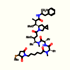 CCCCSC1CC(=O)N(CCCCCC(=O)N(C)[C@H](C(=O)N[C@H](C(=O)N(C)[C@H](C(CC(=O)N2CC3(CC3)C[C@H]2C(OC)[C@@H](C)C(=O)NC(Cc2ccccc2)C(=O)O)OC)[C@@H](C)CC)C(C)C)C(C)C)C1=O